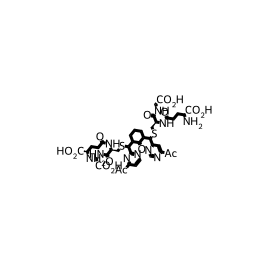 CC(=O)c1cc(C(SC[C@H](NC(=O)CC[C@H](N)C(=O)O)C(=O)NCC(=O)O)C2CCCC(C(SC[C@H](NC(=O)CC[C@@H](N)C(=O)O)C(=O)NCC(=O)O)c3nccc(C(C)=O)n3)C2=O)ncn1